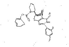 O=C(Oc1ccccc1)N1CCCC1c1nc2c(=O)[nH]c(-c3ccc(F)cc3F)nc2s1